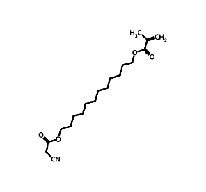 C=C(C)C(=O)OCCCCCCCCCCCCOC(=O)CC#N